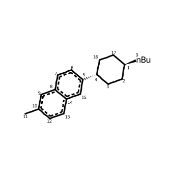 CCCC[C@H]1CC[C@H](c2ccc3cc(C)ccc3c2)CC1